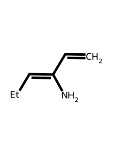 C=CC(N)=CCC